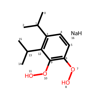 CC(C)c1ccc(OO)c(OO)c1C(C)C.[NaH]